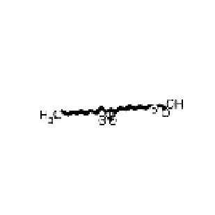 CCCCC/C=C/C/C=C/C(/C=C/C/C=C/CCCCSCC(=O)O)[N+](=O)[O-]